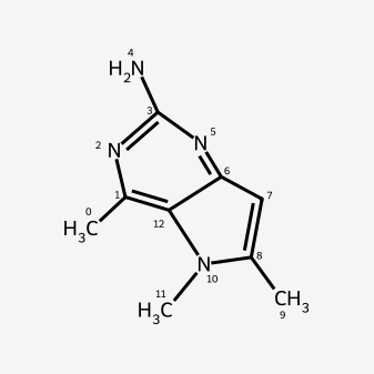 Cc1nc(N)nc2cc(C)n(C)c12